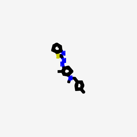 Cc1ccc(CN(C)c2ccc(N=Nc3nc4ccccc4s3)c(C)c2)cc1